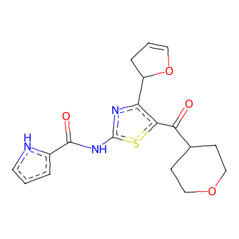 O=C(Nc1nc(C2CC=CO2)c(C(=O)C2CCOCC2)s1)c1ccc[nH]1